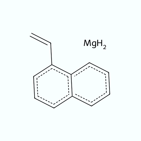 C=Cc1cccc2ccccc12.[MgH2]